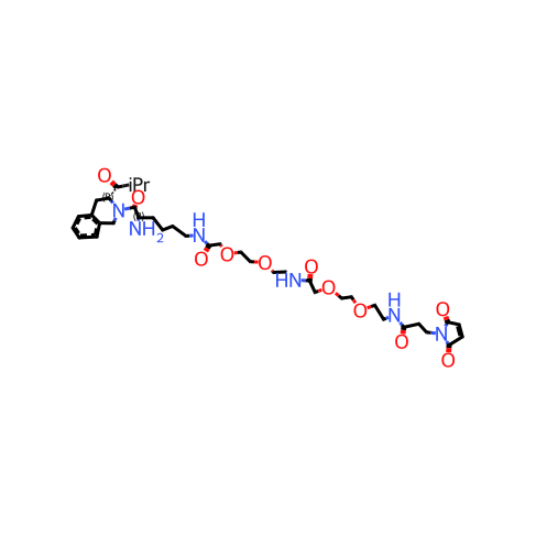 CC(C)C(=O)[C@H]1Cc2ccccc2CN1C(=O)[C@H](N)CCCCNC(=O)COCCOCCNC(=O)COCCOCCNC(=O)CCN1C(=O)C=CC1=O